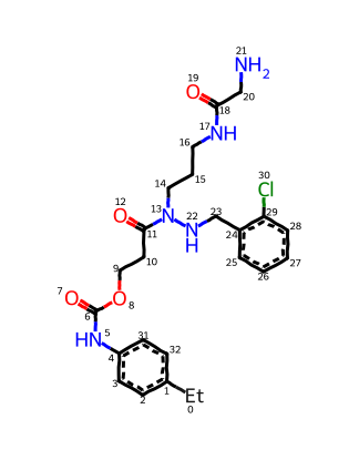 CCc1ccc(NC(=O)OCCC(=O)N(CCCNC(=O)CN)NCc2ccccc2Cl)cc1